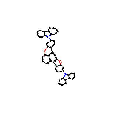 C1=CC2c3c(cc4c5c(cccc35)Oc3cc(-n5c6ccccc6c6ccccc65)ccc3-4)OC2C=C1n1c2ccccc2c2ccccc21